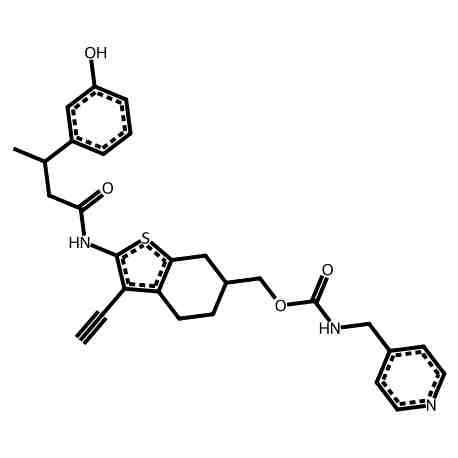 C#Cc1c(NC(=O)CC(C)c2cccc(O)c2)sc2c1CCC(COC(=O)NCc1ccncc1)C2